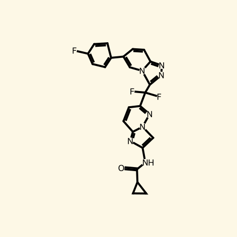 O=C(Nc1cn2nc(C(F)(F)c3nnc4ccc(-c5ccc(F)cc5)cn34)ccc2n1)C1CC1